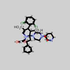 O=C=CN1C=C(C(=O)O)C(c2c(Cl)cccc2Cl)C(C(=O)O)C1(CC(=O)c1ccccc1)N1CCN(C2CN3CCC2CC3)CC1